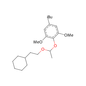 CCC(C)c1cc(OC)c(OC(C)OCCC2CCCCC2)c(OC)c1